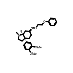 COc1ccc([C@@]23CC/C(=N\OCCOc4ccccc4)C[C@@H]2N(C)CC3)cc1OC